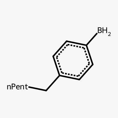 Bc1ccc(CCCCCC)cc1